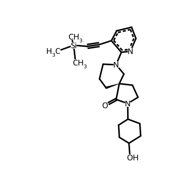 C[Si](C)(C)C#Cc1cccnc1N1CCC[C@]2(CCN(C3CCC(O)CC3)C2=O)C1